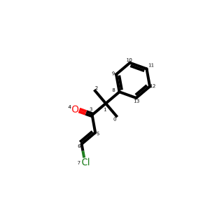 CC(C)(C(=O)C=CCl)c1ccccc1